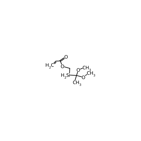 C=CC(=O)OC[SiH2]C(C)(OC)OC